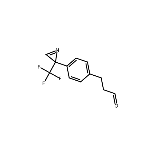 O=CCCc1ccc(C2(C(F)(F)F)C=N2)cc1